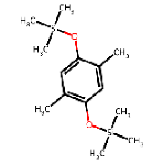 Cc1cc(O[Si](C)(C)C)c(C)cc1O[Si](C)(C)C